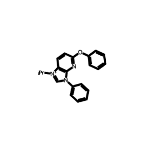 CC(C)[n+]1cn(-c2ccccc2)c2nc(Oc3ccccc3)ccc21